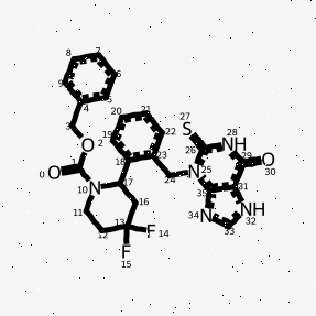 O=C(OCc1ccccc1)N1CCC(F)(F)CC1c1ccccc1Cn1c(=S)[nH]c(=O)c2[nH]cnc21